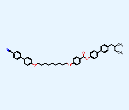 CCC(C)Cc1ccc(-c2ccc(OC(=O)c3ccc(OCCCCCCCCCOc4ccc(-c5ccc(C#N)cc5)cc4)cc3)cc2)cc1